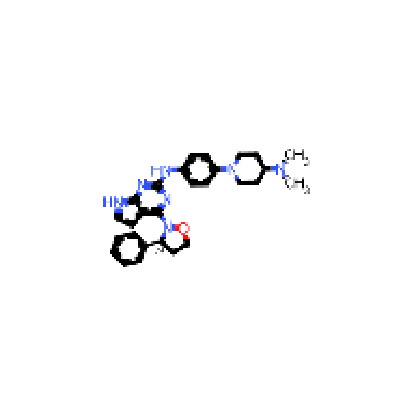 CN(C)C1CCN(c2ccc(Nc3nc(N4OCC[C@H]4c4ccccc4)c4cc[nH]c4n3)cc2)CC1